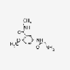 CCNC(=O)c1cc(NC(=O)CN)ccc1OC